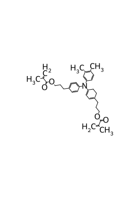 C=C(C)C(=O)OCCCC1=C=C=C(N(C2=CC=C(CCCOC(=O)C(=C)C)CC2)c2ccc(C)c(C)c2)C=C1